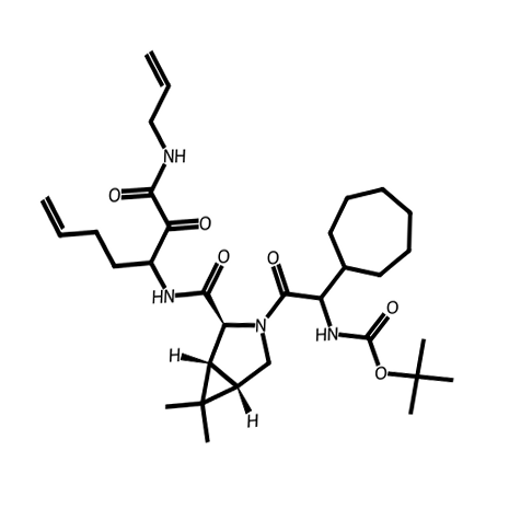 C=CCCC(NC(=O)[C@@H]1[C@@H]2[C@H](CN1C(=O)C(NC(=O)OC(C)(C)C)C1CCCCCC1)C2(C)C)C(=O)C(=O)NCC=C